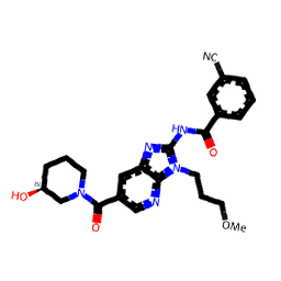 COCCCn1c(NC(=O)c2cccc(C#N)c2)nc2cc(C(=O)N3CCC[C@H](O)C3)cnc21